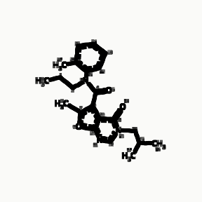 CCCN(C(=O)c1c(C)oc2ncn(CC(C)C)c(=O)c12)c1ccccc1C